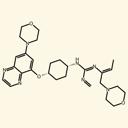 C=N/C(=N\C(=C/C)CN1CCOCC1)N[C@H]1CC[C@@H](Oc2cc(N3CCOCC3)cc3nccnc23)CC1